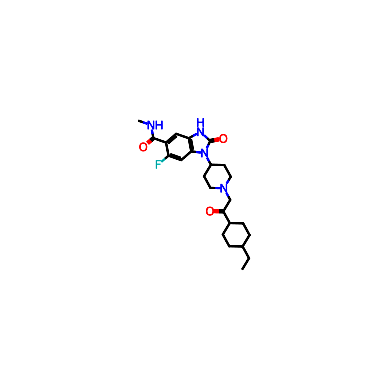 CCC1CCC(C(=O)CN2CCC(n3c(=O)[nH]c4cc(C(=O)NC)c(F)cc43)CC2)CC1